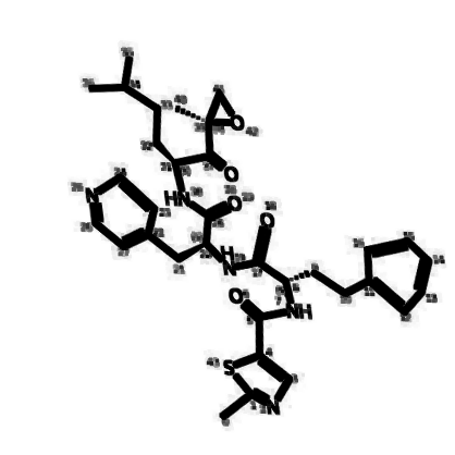 Cc1ncc(C(=O)N[C@@H](CCc2ccccc2)C(=O)N[C@@H](Cc2ccncc2)C(=O)N[C@@H](CCC(C)C)C(=O)[C@@]2(C)CO2)s1